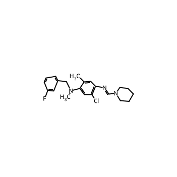 Cc1cc(N=CN2CCCCC2)c(Cl)cc1N(C)Cc1cccc(F)c1